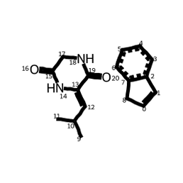 C1=Cc2ccccc2C1.CC(C)C=C1NC(=O)CNC1=O